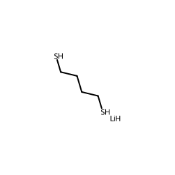 SCCCCS.[LiH]